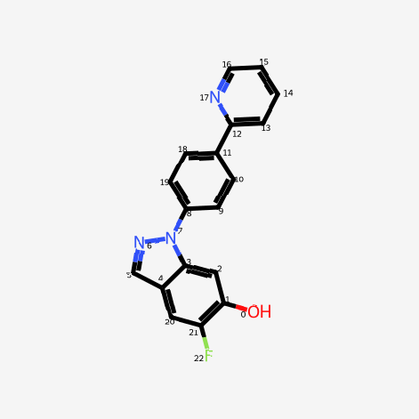 Oc1cc2c(cnn2-c2ccc(-c3ccccn3)cc2)cc1F